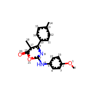 COc1ccc(Nc2nc(-c3ccc(C)cc3)c(C)c(=O)o2)cc1